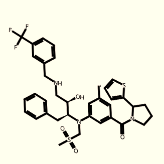 [CH]c1cc(C(=O)N2CCCC2c2cccs2)cc(N(CS(C)(=O)=O)[C@@H](Cc2ccccc2)[C@H](O)CNCc2cccc(C(F)(F)F)c2)c1